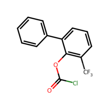 O=C(Cl)Oc1c(-c2ccccc2)cccc1C(F)(F)F